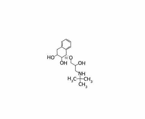 CC(C)(C)NCC(O)CO[C@H]1c2ccccc2CC(O)C1O